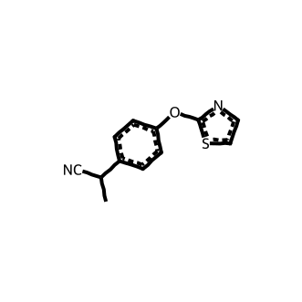 CC(C#N)c1ccc(Oc2nccs2)cc1